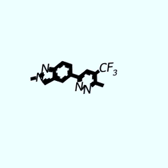 Cc1nnc(-c2ccc3nn(C)cc3c2)cc1C(F)(F)F